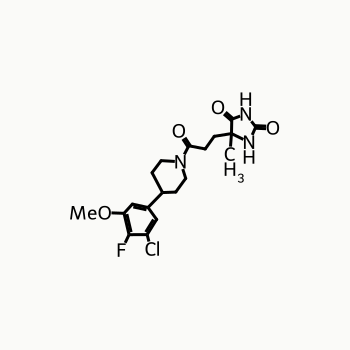 COc1cc(C2CCN(C(=O)CCC3(C)NC(=O)NC3=O)CC2)cc(Cl)c1F